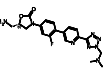 CN(C)Cn1nnc(-c2ccc(-c3ccc(N4C[C@H](CN)OC4=O)cc3F)cn2)n1